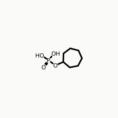 O=P(O)(O)OC1CCCCCC1